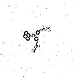 COC(C)COC(=O)CCc1ccc(N(N=Cc2cc3cccc4ccc5cccc2c5c43)c2ccc(CCC(=O)OCC3CO3)cc2)cc1